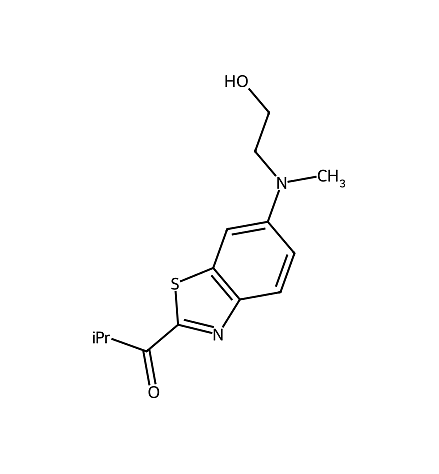 CC(C)C(=O)c1nc2ccc(N(C)CCO)cc2s1